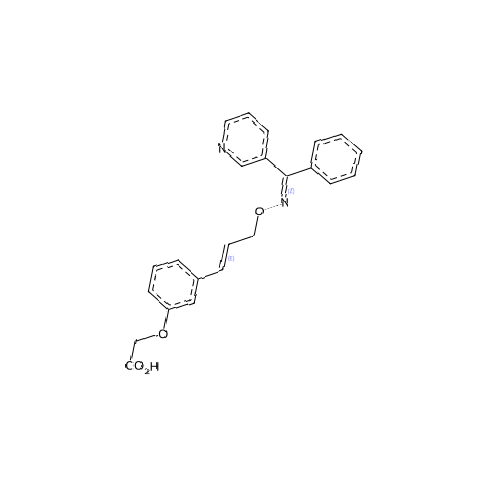 O=C(O)COc1cccc(/C=C/CO/N=C(/c2ccccc2)c2cccnc2)c1